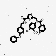 O=C(NCc1ccc(Oc2ccccc2)cc1)c1csc(CN(C(=O)c2ccccc2)c2ccc(O)c(C(=O)O)c2)n1